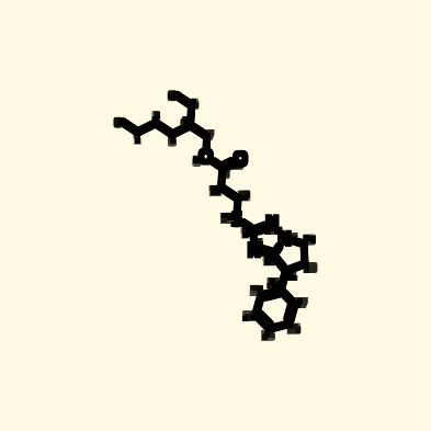 CCCCC(CC)COC(=O)CCSc1nc2n(n1)CCC2c1ccccc1